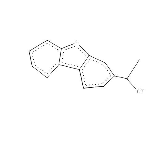 CC(C)C(C)c1ccc2c(c1)sc1ccccc12